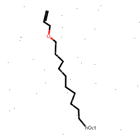 [CH2]CCCCCCCCCCCCCCCCCOCC=C